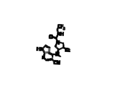 CC[C@@H]1CN(C(=O)NCC(F)(F)F)C[C@@H]1N(C)c1c(C#N)cnc2[nH]ccc12